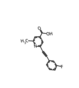 Cc1cc(C(=O)O)cc(C#Cc2cccc(F)c2)n1